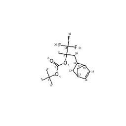 CC(C)(C)OC(=O)OC(C)(CC1CC2C=CC1C2)C(F)(F)F